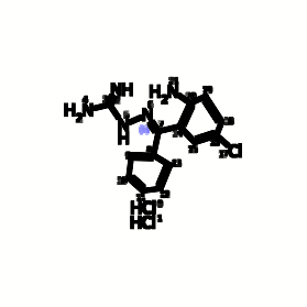 Cl.Cl.N=C(N)N/N=C(\c1ccccc1)c1cc(Cl)ccc1N